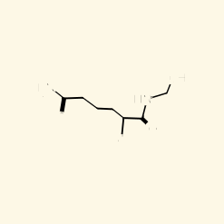 CCNC(=O)C(C)CCCC(N)=O